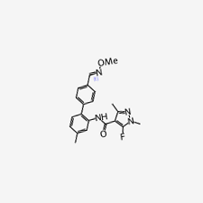 CO/N=C/c1ccc(-c2ccc(C)cc2NC(=O)c2c(C)nn(C)c2F)cc1